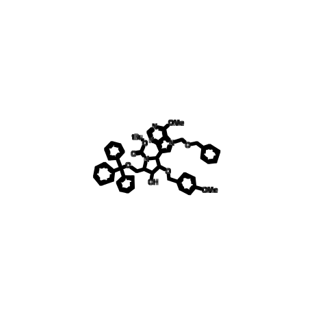 COc1ccc(COC2C(O)C(COC(c3ccccc3)(c3ccccc3)c3ccccc3)N(C(=O)OC(C)(C)C)C2c2cn(COCc3ccccc3)c3c(OC)ncnc23)cc1